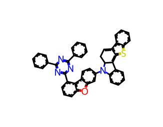 C1=c2c(sc3ccccc23)=C2c3ccccc3N(c3ccc4c(c3)oc3cccc(-c5nc(-c6ccccc6)nc(-c6ccccc6)n5)c34)C2C1